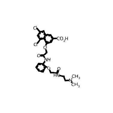 CN(C)CCNC(=O)COc1ccccc1NC(=O)COc1cc(C(=O)O)cc2cc(Cl)cc(Cl)c12